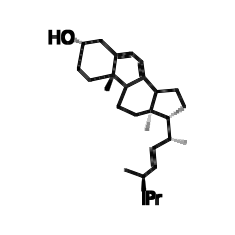 CC(C)[C@@H](C)/C=C/[C@@H](C)[C@H]1CCC2C3=CC=C4C[C@@H](O)CC[C@@]4(C)C3CC[C@@]21C